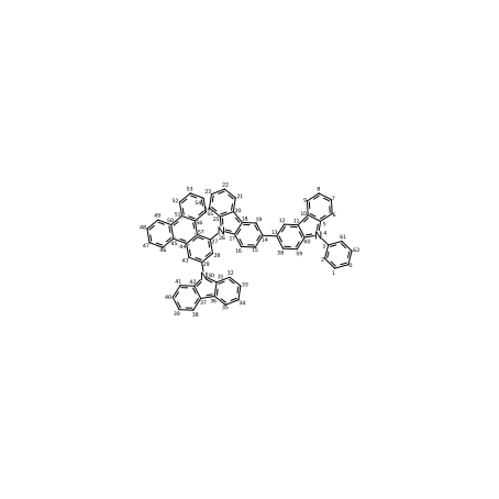 c1ccc(-n2c3ccccc3c3cc(-c4ccc5c(c4)c4ccccc4n5-c4cc(-n5c6ccccc6c6ccccc65)cc5c6ccccc6c6ccccc6c45)ccc32)cc1